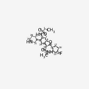 CCS(=O)(=O)Nc1cc2oc(-c3ccc(F)cc3)c(C(=O)NC)c2cc1[C@@H]1CCCNC1